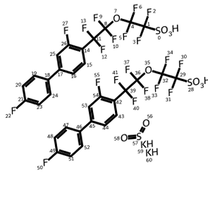 O=S(=O)(O)C(F)(F)C(F)(F)OC(F)(F)C(F)(F)c1ccc(-c2ccc(F)cc2)cc1F.O=S(=O)(O)C(F)(F)C(F)(F)OC(F)(F)C(F)(F)c1ccc(-c2ccc(F)cc2)cc1F.O=S=O.[KH].[KH]